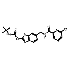 CC(C)(C)NC(=O)Oc1nc2ccc(CNC(=O)c3cccc(Cl)n3)cc2s1